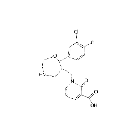 O=C(O)c1cccn(CC2CNCCOC2c2ccc(Cl)c(Cl)c2)c1=O